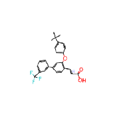 CC(C)(C)c1ccc(Oc2cc(-c3cccc(C(F)(F)F)c3)ccc2/C=C/C(=O)O)cc1